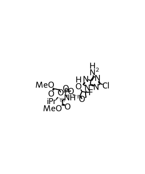 COC(=O)COP(=O)(N[C@@H](CC(C)C)C(=O)OC)OC[C@H]1OCC(F)(n2cnc3c(N)nc(Cl)nc32)C1O